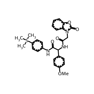 COc1ccc(C(NC(=O)Cn2c(=O)oc3ccccc32)C(=O)Nc2ccc(S(C)(C)C)cc2)cc1